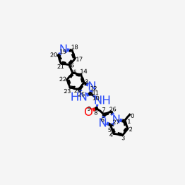 Cc1cccc2nc(C(=O)Nc3nc4cc(-c5ccncc5)ccc4[nH]3)cn12